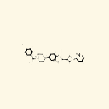 O=C(Nc1ccc(C2CCN(C(=O)c3ccc(F)cc3)CC2)cc1F)C1CN(c2cccnn2)C1